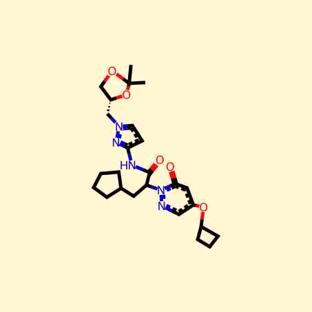 CC1(C)OC[C@@H](Cn2ccc(NC(=O)C(CC3CCCC3)n3ncc(OC4CCC4)cc3=O)n2)O1